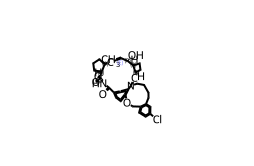 C[C@]12C/C=C/[C@H](O)[C@@H]3CC[C@H]3CN3CCCCc4cc(Cl)ccc4COc4ccc(cc43)C(=O)NS(=O)(=O)[C@@H]1CCC2